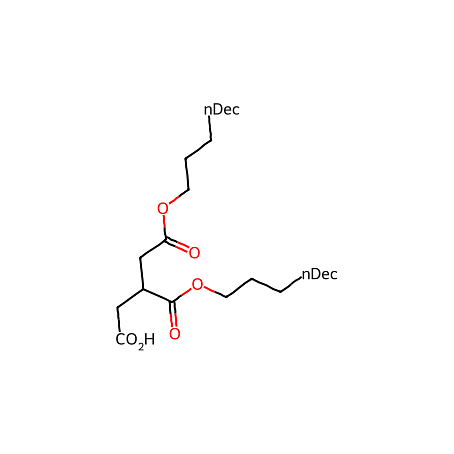 CCCCCCCCCCCCCOC(=O)CC(CC(=O)O)C(=O)OCCCCCCCCCCCCC